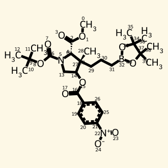 COC(=O)[C@H]1N(C(=O)OC(C)(C)C)CC(OC(=O)c2ccc([N+](=O)[O-])cc2)[C@@]1(C)CCCB1OC(C)(C)C(C)(C)O1